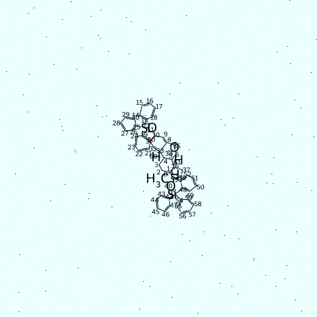 C[C@]12CC[C@@H]3[C@@H](CCC4=CC(O[Si](c5ccccc5)(c5ccccc5)c5ccccc5)CC[C@@]43C=O)[C@@H]1CCC2O[Si](c1ccccc1)(c1ccccc1)c1ccccc1